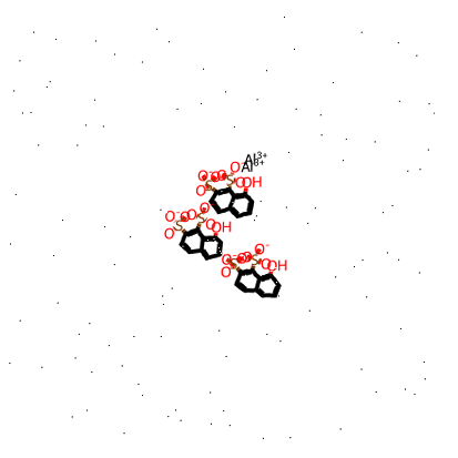 O=S(=O)([O-])c1ccc2cccc(O)c2c1S(=O)(=O)[O-].O=S(=O)([O-])c1ccc2cccc(O)c2c1S(=O)(=O)[O-].O=S(=O)([O-])c1ccc2cccc(O)c2c1S(=O)(=O)[O-].[Al+3].[Al+3]